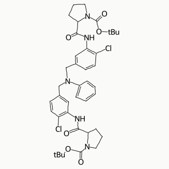 CC(C)(C)OC(=O)N1CCCC1C(=O)Nc1cc(CN(Cc2ccc(Cl)c(NC(=O)C3CCCN3C(=O)OC(C)(C)C)c2)c2ccccc2)ccc1Cl